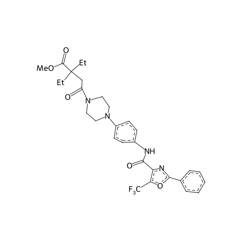 CCC(CC)(CC(=O)N1CCN(c2ccc(NC(=O)c3nc(-c4ccccc4)oc3C(F)(F)F)cc2)CC1)C(=O)OC